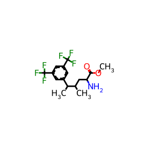 COC(=O)C(N)CC(C)C(C)c1cc(C(F)(F)F)cc(C(F)(F)F)c1